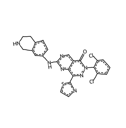 O=c1c2cnc(Nc3ccc4c(c3)CNCC4)nc2c(-c2nccs2)nn1-c1c(Cl)cccc1Cl